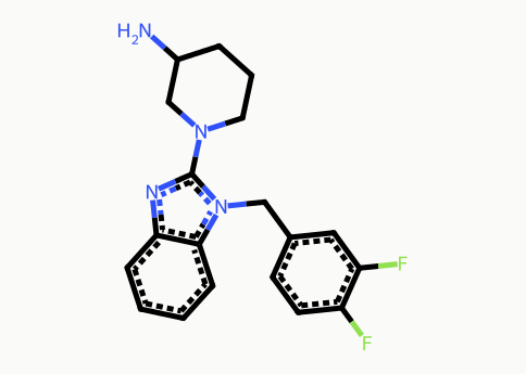 NC1CCCN(c2nc3ccccc3n2Cc2ccc(F)c(F)c2)C1